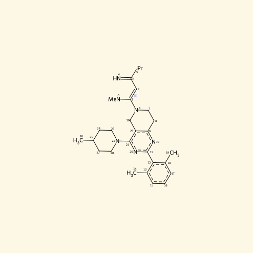 CN/C(=C\C(=N)C(C)C)N1CCc2nc(-c3c(C)cccc3C)nc(N3CCC(C)CC3)c2C1